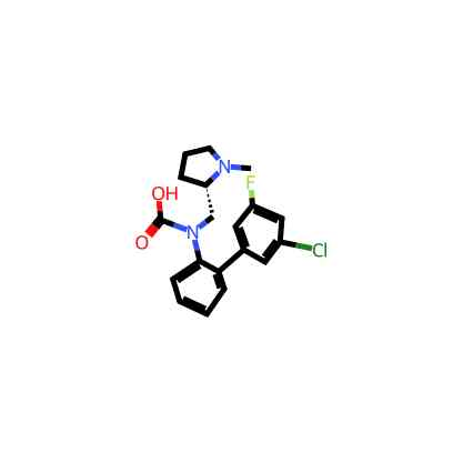 CN1CCC[C@H]1CN(C(=O)O)c1ccccc1-c1cc(F)cc(Cl)c1